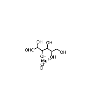 O=CC(O)C(O)C(O)C(O)CO.[Cl-].[Cl-].[Mg+2]